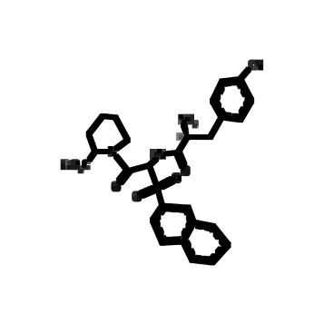 CCOC(=O)C1CCCCN1C(=O)C(NC(=O)[C@@H](N)Cc1ccc(C#N)cc1)S(=O)(=O)c1ccc2ccccc2c1